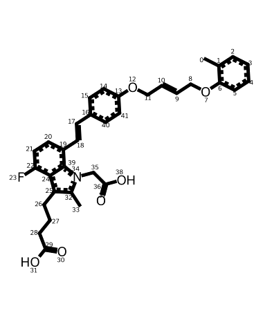 Cc1ccccc1OC/C=C/COc1ccc(/C=C/c2ccc(F)c3c(CCCC(=O)O)c(C)n(CC(=O)O)c23)cc1